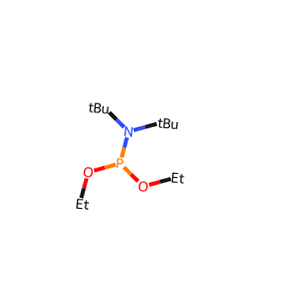 CCOP(OCC)N(C(C)(C)C)C(C)(C)C